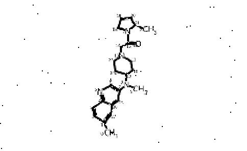 Cc1ccc2ncc(N(C)C3CCN(CC(=O)N4CCC[C@H]4C)CC3)cc2c1